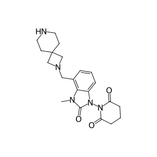 Cn1c(=O)n(N2C(=O)CCCC2=O)c2cccc(CN3CC4(CCNCC4)C3)c21